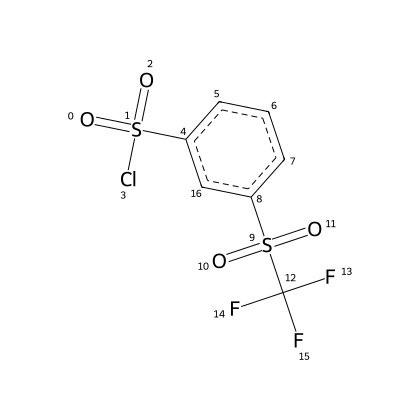 O=S(=O)(Cl)c1cccc(S(=O)(=O)C(F)(F)F)c1